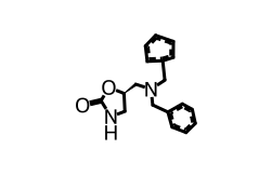 O=C1NC[C@H](CN(Cc2ccccc2)Cc2ccccc2)O1